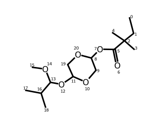 CCC(C)(C)C(=O)OC1COC(OC(OC)C(C)C)CO1